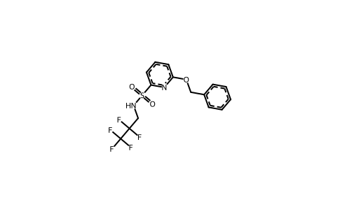 O=S(=O)(NCC(F)(F)C(F)(F)F)c1cccc(OCc2ccccc2)n1